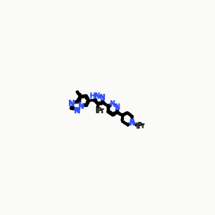 Cc1cc(-c2[nH]nc(-c3ccc(C4CCN(C(C)C)CC4)nn3)c2C(C)C)cn2ncnc12